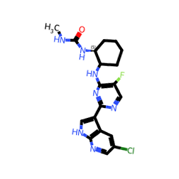 CNC(=O)N[C@H]1CCCCC1Nc1nc(-c2c[nH]c3ncc(Cl)cc23)ncc1F